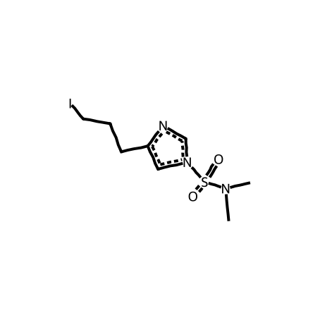 CN(C)S(=O)(=O)n1cnc(CCCI)c1